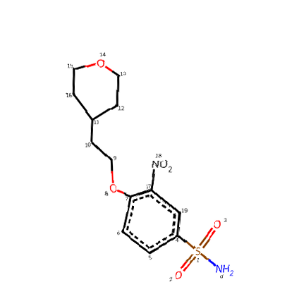 NS(=O)(=O)c1ccc(OCCC2CCOCC2)c([N+](=O)[O-])c1